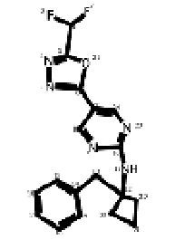 FC(F)c1nnc(-c2cnc(NC3(Cc4ccccc4)CCC3)nc2)o1